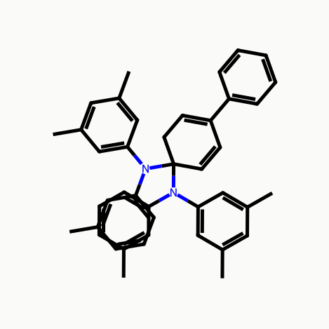 Cc1cccc(N(c2cc(C)cc(C)c2)C2(N(c3cccc(C)c3)c3cc(C)cc(C)c3)C=CC(c3ccccc3)=CC2)c1